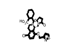 O=C(O)C1CCCCC1C(=O)N1CCc2c(Cl)ccc(OCc3ccsn3)c2[C@H]1CN1CCCC1=O